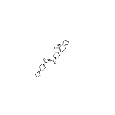 O=C(CNC(=O)N1CCC(N2CCc3ccccc3NC2=O)CC1)N1CCC(N2CCCC2)CC1